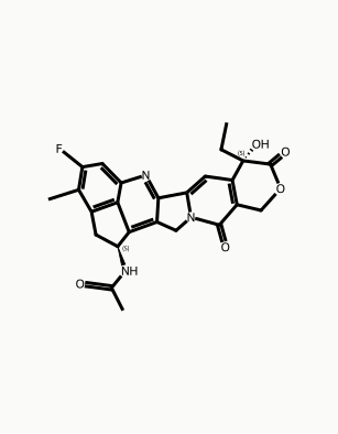 CC[C@@]1(O)C(=O)OCc2c1cc1n(c2=O)Cc2c-1nc1cc(F)c(C)c3c1c2[C@@H](NC(C)=O)C3